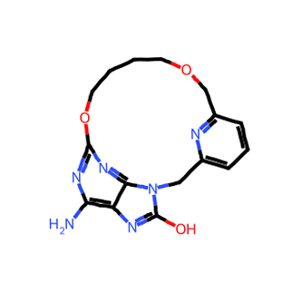 Nc1nc2nc3c1nc(O)n3Cc1cccc(n1)COCCCCO2